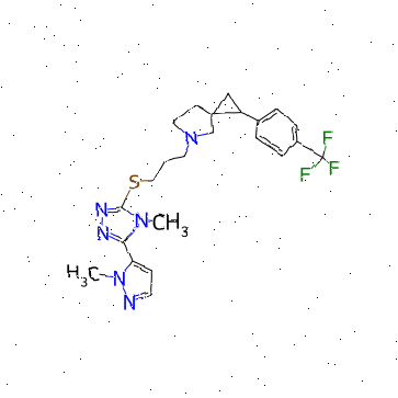 Cn1nccc1-c1nnc(SCCCN2CCC3(CC3c3ccc(C(F)(F)F)cc3)C2)n1C